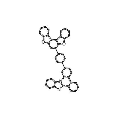 c1ccc2c(c1)nc1c3ccccc3c3ccc(-c4ccc(-c5cc6oc7ccccc7c6c6c5oc5ccccc56)cc4)cc3n21